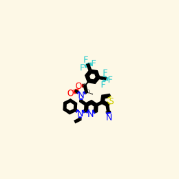 CCN(c1ncc(-c2ccsc2C#N)cc1CN1C(=O)O[C@@H](c2cc(C(F)(F)F)cc(C(F)(F)F)c2)[C@@H]1C)C1CCCCC1